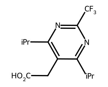 CC(C)c1nc(C(F)(F)F)nc(C(C)C)c1CC(=O)O